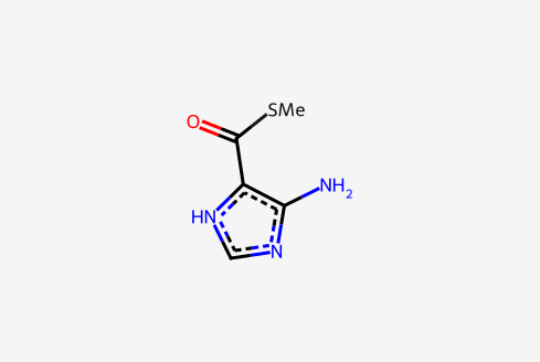 CSC(=O)c1[nH]cnc1N